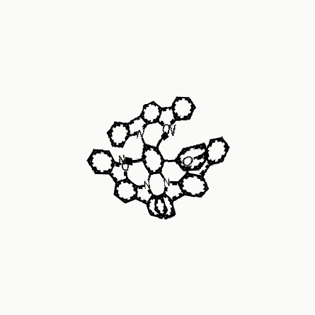 N#Cc1c(-c2ccccc2)c(-n2c3ccccc3c3ccc4c5ccccc5oc4c32)c(-n2c3ccccc3c3ccc4c5ccccc5oc4c32)c(C#N)c1-n1c2ccccc2c2ccc3c4ccccc4oc3c21